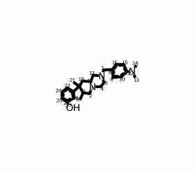 CC1CN2CCN(Cc3ccc(N(C)C)cc3)CC2CC1(C)c1cccc(O)c1